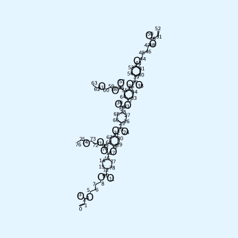 C=CC(=O)OCCCCOC(=O)C1CCC(COc2ccc(OC(=O)C3CCC(C(=O)Oc4ccc(OC(=O)c5ccc(OCCCCOC(=O)C=C)cc5)c(C(=O)OCCOCC)c4)CC3)cc2C(=O)OCCOCC)CC1